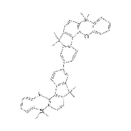 CC1(C)c2cc(-c3ccc4c(c3)C(C)(C)c3ccc5c(c3-4)Sc3ccccc3[Si]5(C)C)ccc2-c2c1ccc1c2Oc2ccccc2[Si]1(C)C